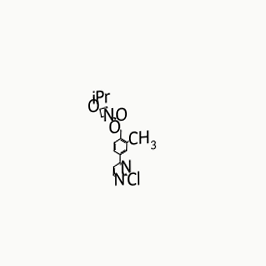 Cc1cc(-c2ccnc(Cl)n2)ccc1COC(=O)N1CC(OC(C)C)C1